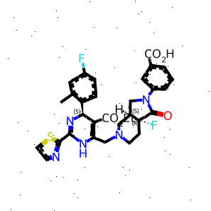 CCOC(=O)C1=C(CN2CC[C@]3(F)C(=O)N(c4cccc(C(=O)O)c4)C[C@@H]3C2)NC(c2nccs2)=N[C@H]1c1ccc(F)cc1C